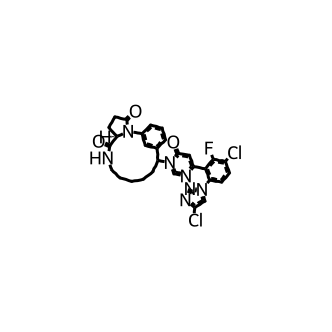 O=C1NCCCCCC(n2cnc(-c3c(-n4cc(Cl)nn4)ccc(Cl)c3F)cc2=O)c2cccc(c2)N2C(=O)CC[C@H]12